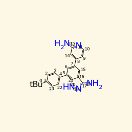 CC(C)(C)c1ccc(-c2cc(-c3ccnc(N)c3)cc3c(N)n[nH]c23)cc1